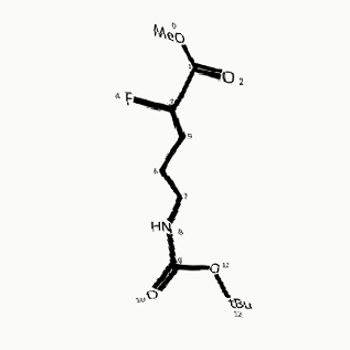 COC(=O)C(F)CCCNC(=O)OC(C)(C)C